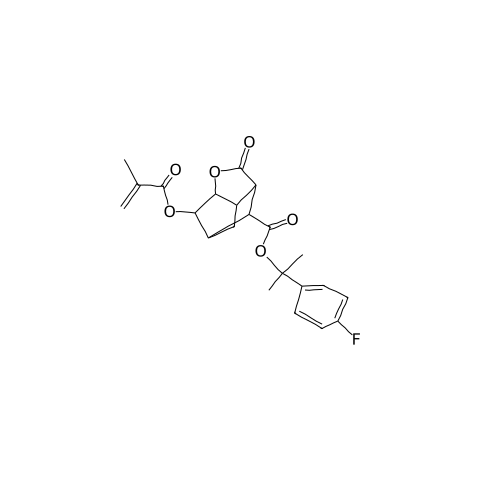 C=C(C)C(=O)OC1C2CC3C1OC(=O)C3C2C(=O)OC(C)(C)c1ccc(F)cc1